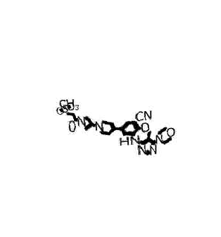 CS(=O)(=O)CCC(=O)N1CC(N2CCC(c3cc(C#N)c4c(c3)Nc3ncnc(N5CCOCC5)c3CO4)CC2)C1